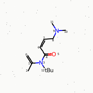 C=C(C)N(C(=O)/C=C\CN(C)C)C(C)(C)C